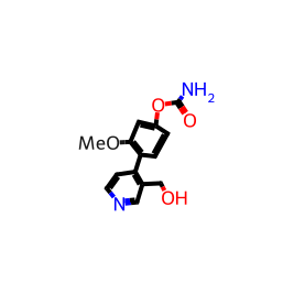 COc1cc(OC(N)=O)ccc1-c1ccncc1CO